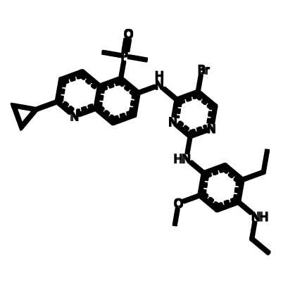 CCNc1cc(OC)c(Nc2ncc(Br)c(Nc3ccc4nc(C5CC5)ccc4c3P(C)(C)=O)n2)cc1CC